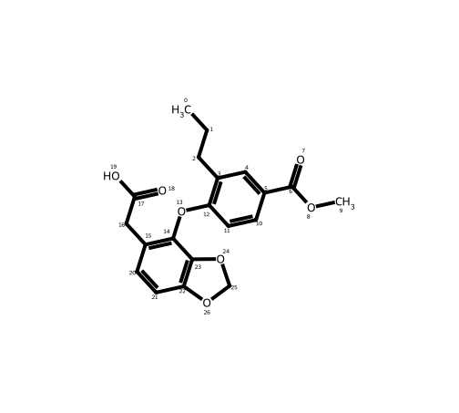 CCCc1cc(C(=O)OC)ccc1Oc1c(CC(=O)O)ccc2c1OCO2